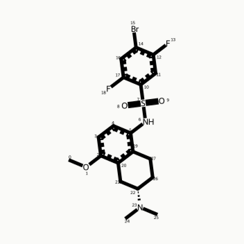 COc1ccc(NS(=O)(=O)c2cc(F)c(Br)cc2F)c2c1C[C@@H](N(C)C)CC2